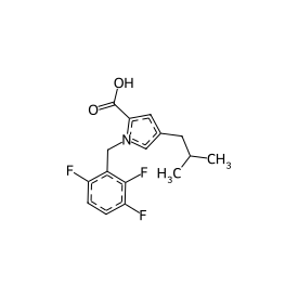 CC(C)Cc1cc(C(=O)O)n(Cc2c(F)ccc(F)c2F)c1